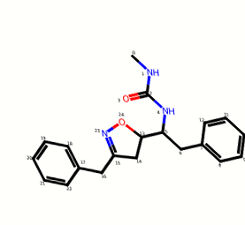 CNC(=O)NC(Cc1ccccc1)C1CC(Cc2ccccc2)=NO1